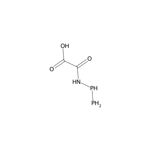 O=C(O)C(=O)NPP